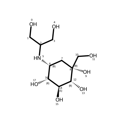 OCC(CO)N[C@@H]1C[C@@](O)(CO)[C@H](O)[C@@H](O)[C@@H]1O